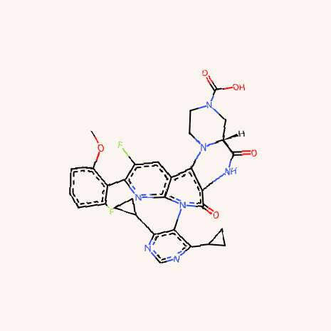 COc1cccc(F)c1-c1nc2c(cc1F)c1c(c(=O)n2-c2c(C3CC3)ncnc2C2CC2)NC(=O)[C@H]2CN(C(=O)O)CCN12